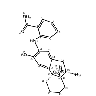 NC(=O)c1ccccc1Nc1cc2c(cc1O)[C@]13CCCC[C@@H]1[C@H](C2)NCC3